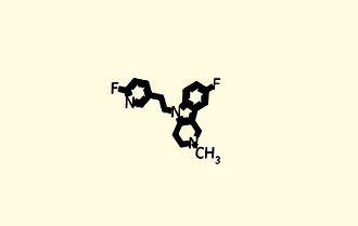 CN1CCc2c(c3cc(F)ccc3n2CCc2ccc(F)nc2)C1